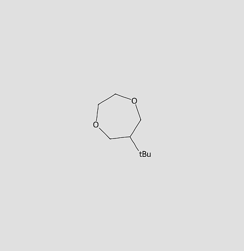 CC(C)(C)C1COCCOC1